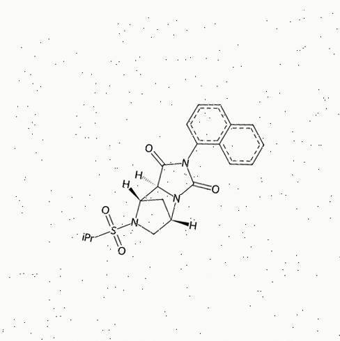 CC(C)S(=O)(=O)N1C[C@@H]2C[C@H]1[C@H]1C(=O)N(c3cccc4ccccc34)C(=O)N21